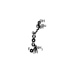 CC(C)(C)[C@H](NC(=O)CCCCCC(=O)N1CCN(c2ccc(N3CCCC(Oc4cc(-c5cc(F)ccc5O)nnc4N)C3)cc2)CC1)C(=O)N1CC[C@@H](O)C1